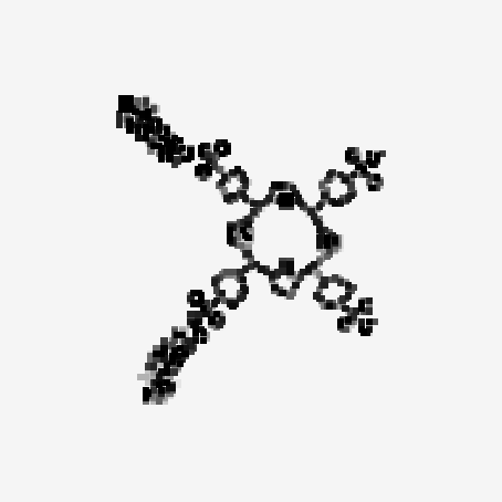 O.O.O.O.O.O.O.O.O.O.O.O.O=S(=O)([O-])c1ccc(-c2c3nc(c(-c4ccc(S(=O)(=O)[O-])cc4)c4ccc([nH]4)c(-c4ccc(S(=O)(=O)[O-])cc4)c4nc(c(-c5ccc(S(=O)(=O)[O-])cc5)c5ccc2[nH]5)C=C4)C=C3)cc1.[Na+].[Na+].[Na+].[Na+]